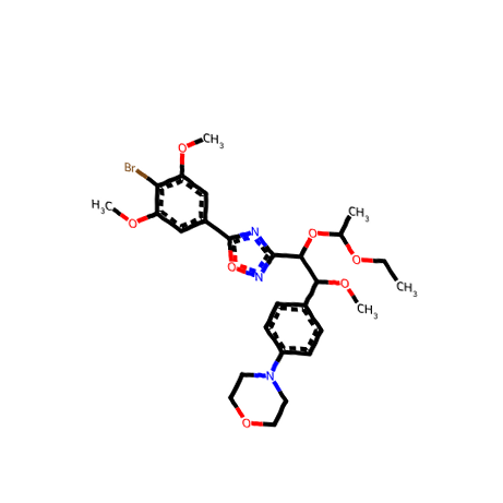 CCOC(C)OC(c1noc(-c2cc(OC)c(Br)c(OC)c2)n1)C(OC)c1ccc(N2CCOCC2)cc1